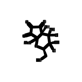 CSC12O[C@H](CO)[C@@](O)(Cl)[C@@](O)(Cl)[C@]1(O)C(=O)C(=O)C2=O